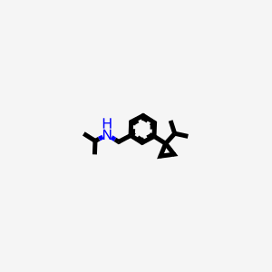 CC(C)NCc1cccc(C2(C(C)C)CC2)c1